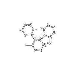 Cc1ccc2sc3ccccc3c2c1-c1ccccc1